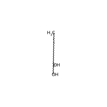 CCCCCC=CCC=CCCCCCCCCCCCCCCCC=CC(O)C=CCCCCCO